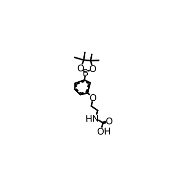 CC1(C)OB(c2cccc(OCCNC(=O)O)c2)OC1(C)C